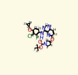 CC(C)(C)OC(=O)N1CC[C@H](Oc2ccc3ncnc(Nc4ccc(OC5CC5)c(Cl)c4F)c3n2)C1